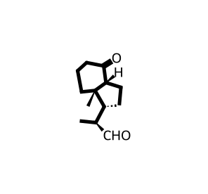 C[C@H](C=O)[C@H]1CC[C@H]2C(=O)CCC[C@@]12C